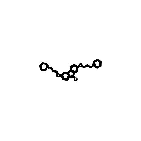 O=C1c2cc(OCCCN3CCCCC3)ccc2-c2cc(OCCCN3CCCCC3)ccc21